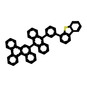 C1=CC2Sc3c(-c4cccc(-c5c6ccccc6c(-c6cc7c8ccccc8c8ccccc8c7c7ccccc67)c6ccccc56)c4)cccc3C2C=C1